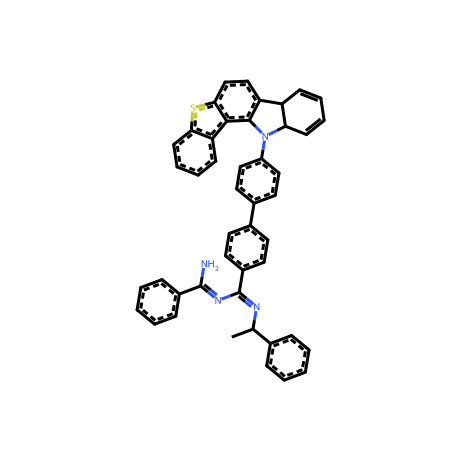 CC(/N=C(\N=C(/N)c1ccccc1)c1ccc(-c2ccc(N3c4c(ccc5sc6ccccc6c45)C4C=CC=CC43)cc2)cc1)c1ccccc1